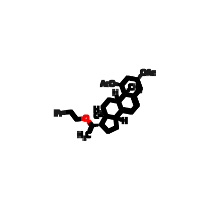 CC(=O)O[C@@H]1CC2=CC=C3[C@@H]4CC[C@H](C(C)OCCC(C)C)[C@@]4(C)CC[C@@H]3[C@@]2(C)[C@@H](OC(C)=O)C1